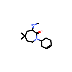 CNC1CC(C)(C)CCN(C2CC=CCC2)C1=O